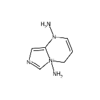 NN1C=CC[N+]2(N)C=NC=C12